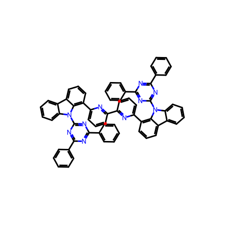 c1ccc(-c2nc(-c3ccccc3)nc(-n3c4ccccc4c4cccc(-c5cccc(-c6cccc(-c7cccc8c9ccccc9n(-c9nc(-c%10ccccc%10)nc(-c%10ccccc%10)n9)c78)n6)n5)c43)n2)cc1